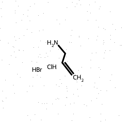 Br.C=CCN.Cl